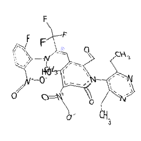 CCc1ncnc(CC)c1-n1c(C=O)c(/C=C(\N(C)c2c(F)cccc2[N+](=O)[O-])C(F)(F)F)c(O)c([N+](=O)[O-])c1=O